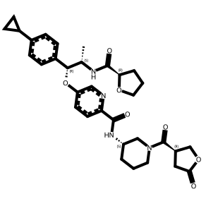 C[C@H](NC(=O)[C@H]1CCCO1)[C@H](Oc1ccc(C(=O)N[C@H]2CCCN(C(=O)[C@H]3COC(=O)C3)C2)nc1)c1ccc(C2CC2)cc1